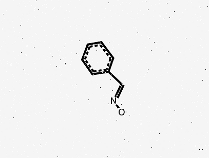 [O]/N=C/c1ccccc1